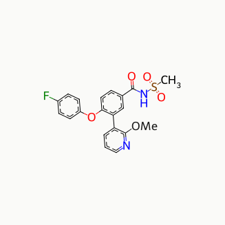 COc1ncccc1-c1cc(C(=O)NS(C)(=O)=O)ccc1Oc1ccc(F)cc1